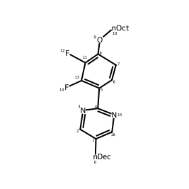 CCCCCCCCCCc1cnc(-c2ccc(OCCCCCCCC)c(F)c2F)nc1